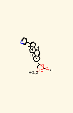 CC(C)OC(=O)OC(COC(=O)O)[C@H]1CC[C@@]2(C)C(=CC[C@@H]3[C@@H]2CC[C@]2(C)C(c4cccnc4)=CC[C@@H]32)C1